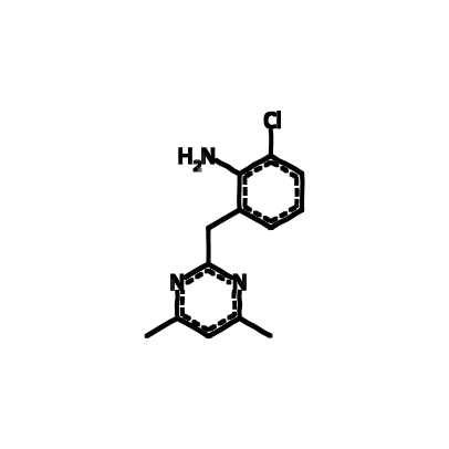 Cc1cc(C)nc(Cc2cccc(Cl)c2N)n1